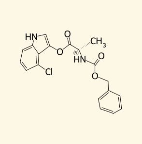 C[C@H](NC(=O)OCc1ccccc1)C(=O)Oc1c[nH]c2cccc(Cl)c12